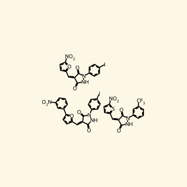 O=C1NN(c2ccc(I)cc2)C(=O)C1=Cc1ccc(-c2cccc([N+](=O)[O-])c2)o1.O=C1NN(c2ccc(I)cc2)C(=O)C1=Cc1ccc([N+](=O)[O-])o1.O=C1NN(c2cccc(C(F)(F)F)c2)C(=O)C1=Cc1ccc([N+](=O)[O-])s1